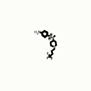 CN(C1CCN(CCCC(F)(F)F)CC1)S(=O)(=O)c1ccc(N)cc1